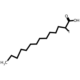 CCCCCCCCCCCCC(I)C(=O)O